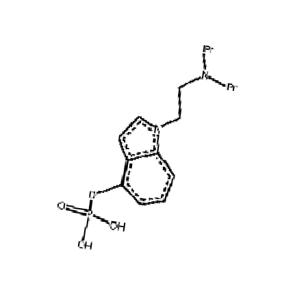 CC(C)N(CCn1ccc2c(OP(=O)(O)O)cccc21)C(C)C